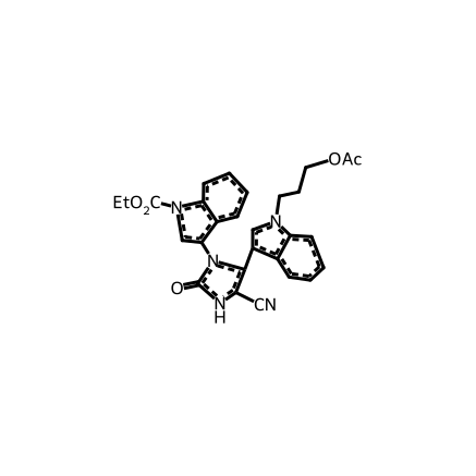 CCOC(=O)n1cc(-n2c(-c3cn(CCCOC(C)=O)c4ccccc34)c(C#N)[nH]c2=O)c2ccccc21